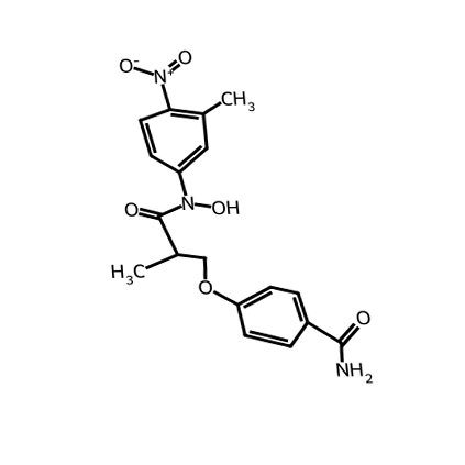 Cc1cc(N(O)C(=O)C(C)COc2ccc(C(N)=O)cc2)ccc1[N+](=O)[O-]